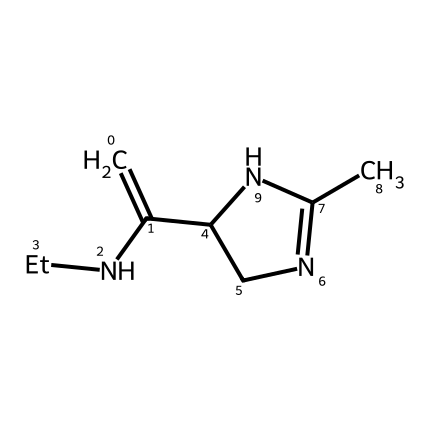 C=C(NCC)C1CN=C(C)N1